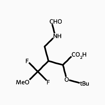 COC(F)(F)C(CNC=O)C(OC(C)(C)C)C(=O)O